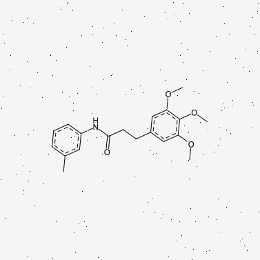 COc1cc(CCC(=O)Nc2cccc(C)c2)cc(OC)c1OC